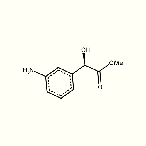 COC(=O)[C@H](O)c1cccc(N)c1